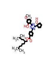 COc1ccc(-c2nc(-c3ccc(C(=O)OCC(CCCCC(C)C)CCC(C)C)cc3)nc(-c3ccccc3O)n2)c(O)c1